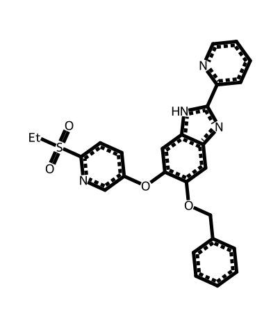 CCS(=O)(=O)c1ccc(Oc2cc3[nH]c(-c4ccccn4)nc3cc2OCc2ccccc2)cn1